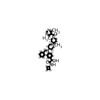 Cc1ncnc(C)c1C(=O)N1CCC(C)(N2CCC(N(Cc3ccccc3)c3ccc([C@H](O)C(=O)NC4CCC4)cc3)CC2)CC1